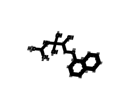 CC(C)NC(O)(O)C(O)COc1cccc2ccccc12